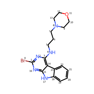 Brc1nc(NCCCN2CCOCC2)c2c(n1)[nH]c1ccccc12